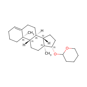 C[C@]12CC[C@H]3[C@@H](CCC4=CCCC[C@@]43C)[C@@H]1CC[C@@H]2OC1CCCCO1